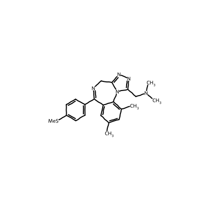 CSc1ccc(C2=NCc3nnc(CN(C)C)n3-c3c(C)cc(C)cc32)cc1